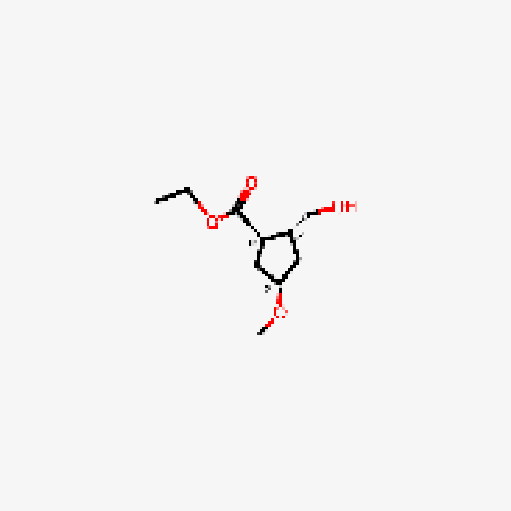 CCOC(=O)[C@@H]1C[C@H](OC)C[C@H]1CO